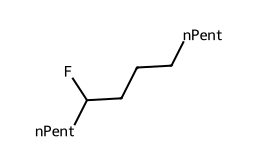 CCCCCCCCC(F)CCCCC